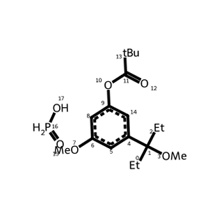 CCC(CC)(OC)c1cc(OC)cc(OC(=O)C(C)(C)C)c1.O=[PH2]O